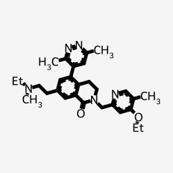 CCOc1cc(CN2CCc3c(cc(CCN(C)CC)cc3-c3cc(C)nnc3C)C2=O)ncc1C